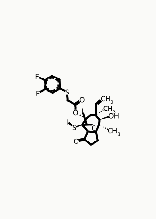 C=C[C@]1(C)C[C@@H](OC(=O)CSc2ccc(F)c(F)c2)[C@]2(SI)C(I)CCC3(CCC(=O)C32)[C@@H](C)[C@@H]1O